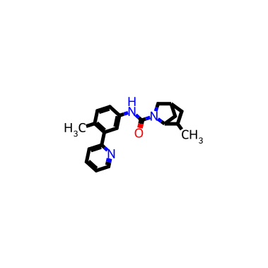 Cc1ccc(NC(=O)N2CC3CC(C)C2C3)cc1-c1ccccn1